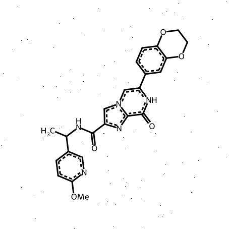 COc1ccc(C(C)NC(=O)c2cn3cc(-c4ccc5c(c4)OCCO5)[nH]c(=O)c3n2)cn1